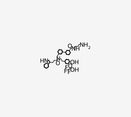 NCCCNC(=O)c1cccc(-c2cccc(CN(CCc3ccc(O)cc3)C(=O)CCc3c[nH]c4ccccc34)c2)c1.O=C(O)C(F)(F)F